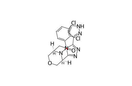 O=C(c1cccc(Cl)c1Cl)N1[C@H]2COC[C@@H]1c1nnc(-c3cc[nH]n3)n1C2